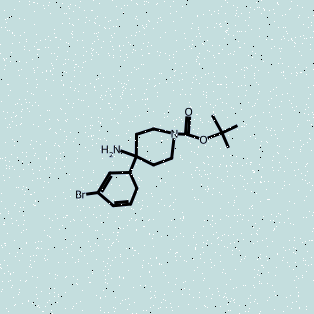 CC(C)(C)OC(=O)N1CCC(N)(C2C=C(Br)C=CC2)CC1